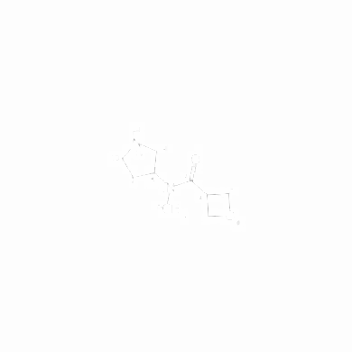 CN(C(=O)C1COC1)C1CCNC1